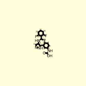 O=C(O)Nc1ccc2c(c1)-c1[nH]ncc1NC(c1c(F)cccc1F)=N2